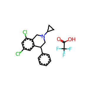 Clc1cc(Cl)c2c(c1)C(c1ccccc1)CN(C1CC1)C2.O=C(O)C(F)(F)F